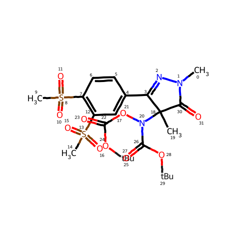 CN1N=C(c2ccc(S(C)(=O)=O)c(S(C)(=O)=O)c2)C(C)(N(OC(=O)OC(C)(C)C)C(=O)OC(C)(C)C)C1=O